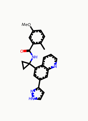 COc1ccc(C)c(C(=O)NC2(c3cc(-c4cc[nH]n4)cc4ncccc34)CC2)c1